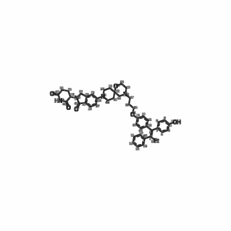 CCC(=C(c1ccc(O)cc1)c1ccc(OCCCN2CCOC3(CCN(c4ccc5c(c4)CN(C4CCC(=O)NC4=O)C5=O)CC3)C2)cc1)c1ccccc1